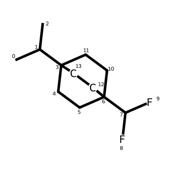 CC(C)C12CCC(C(F)F)(CC1)CC2